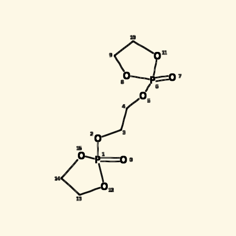 O=P1(OCCOP2(=O)OCCO2)OCCO1